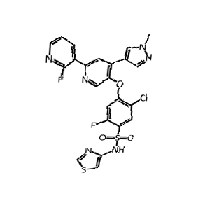 Cn1cc(-c2cc(-c3cccnc3F)ncc2Oc2cc(F)c(S(=O)(=O)Nc3cscn3)cc2Cl)cn1